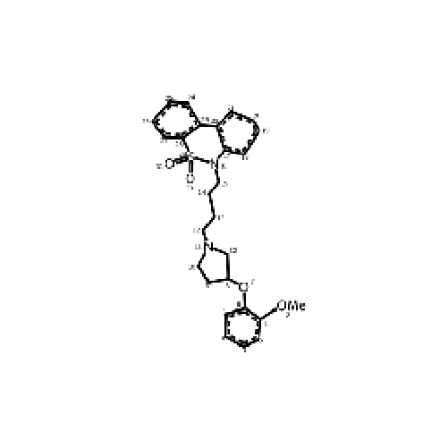 COc1ccccc1OC1CCN(CCCCN2c3ccccc3-c3ccccc3S2(=O)=O)C1